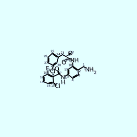 NCc1ccc(NC(=O)c2c(F)cccc2Cl)cc1NS(=O)(=O)Cc1cccc(Cl)c1